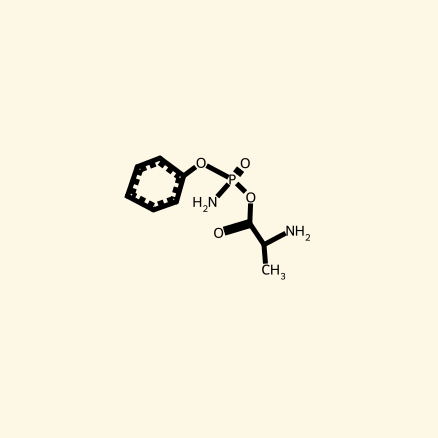 CC(N)C(=O)OP(N)(=O)Oc1ccccc1